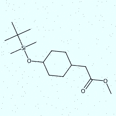 COC(=O)CC1CCC(O[Si](C)(C)C(C)(C)C)CC1